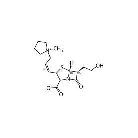 C[N+]1(C/C=C\C2S[C@@H]3[C@@H](CCO)C(=O)N3C2C(=O)[O-])CCCC1